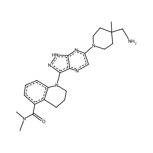 CN(C)C(=O)c1cccc2c1CCCN2c1n[nH]c2nc(N3CCC(C)(CN)CC3)cnc12